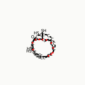 O=C1OCCC(S)CCCCCCCCCCC23CCCCCCCCCCC(S)CCCC1(CCC(S)CCCCCCCCCC2)CCC(S)CCCCCCCCCC3